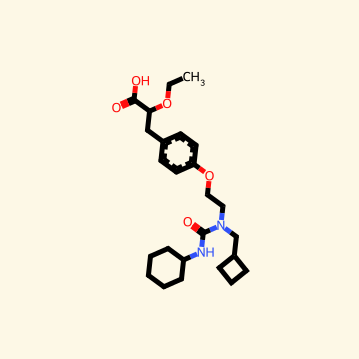 CCOC(Cc1ccc(OCCN(CC2CCC2)C(=O)NC2CCCCC2)cc1)C(=O)O